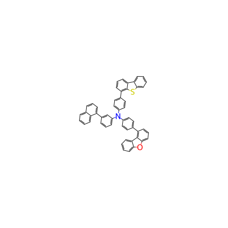 c1cc(-c2cccc3ccccc23)cc(N(c2ccc(-c3cccc4c3sc3ccccc34)cc2)c2ccc(-c3cccc4oc5ccccc5c34)cc2)c1